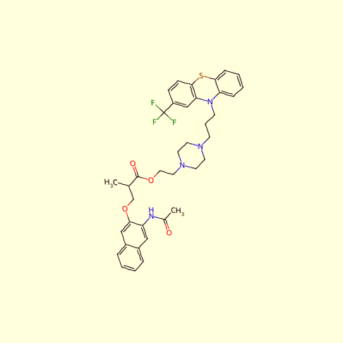 CC(=O)Nc1cc2ccccc2cc1OCC(C)C(=O)OCCN1CCN(CCCN2c3ccccc3Sc3ccc(C(F)(F)F)cc32)CC1